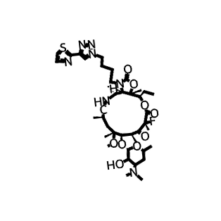 CC[C@H]1OC(=O)[C@](C)(F)C(=O)[C@@H](C)[C@@H](O[C@@H]2OC(C)CC(N(C)C)C2O)[C@](C)(OC)C[C@@H](C)CN[C@H](C)[C@H]2N(CCCCn3cc(-c4nccs4)nn3)C(=O)O[C@]12C